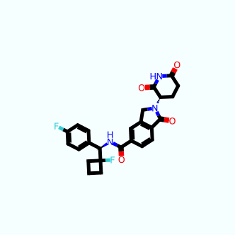 O=C1CC[C@H](N2Cc3cc(C(=O)N[C@H](c4ccc(F)cc4)C4(F)CCC4)ccc3C2=O)C(=O)N1